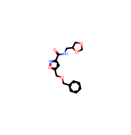 O=C(NCC1COCO1)c1cc(COCc2ccccc2)on1